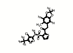 [2H]c1c(C)c(CC(=O)c2sccc2S(=O)(=O)N([2H])c2onc(C([2H])([2H])[2H])c2Cl)c([2H])c2c1OC([2H])([2H])O2